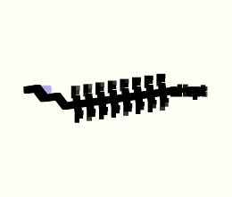 C/C=C/CCC(F)(F)C(F)(F)C(F)(F)C(F)(F)C(F)(F)C(F)(F)C(F)(F)C(F)(F)CCCCCCC